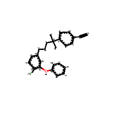 C#Cc1ccc(C(C)(C)CCCc2ccc(F)c(Oc3ccccc3)c2)cc1